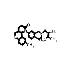 CC(C)=C(C)C(=O)N1CCc2ccc(-n3c(=O)ccc4cnc5ccc(C)cc5c43)cc2C1